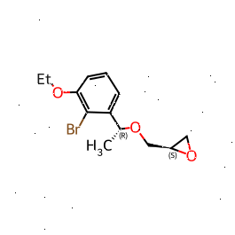 CCOc1cccc([C@@H](C)OC[C@H]2CO2)c1Br